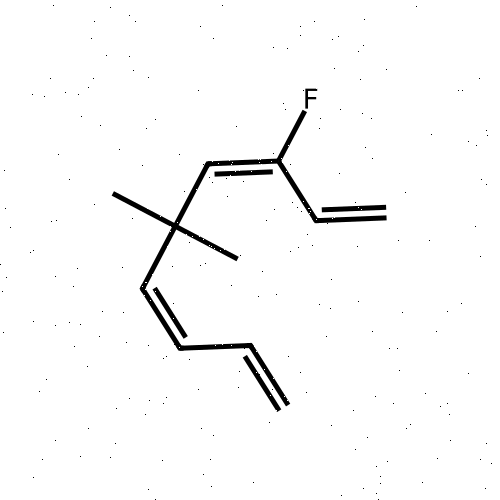 C=C/C=C\C(C)(C)/C=C(/F)C=C